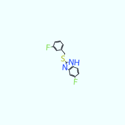 Fc1cccc(CSc2nc3cc(F)ccc3[nH]2)c1